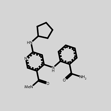 CNC(=O)c1cnc(NC2CCCC2)cc1Nc1ccccc1C(N)=O